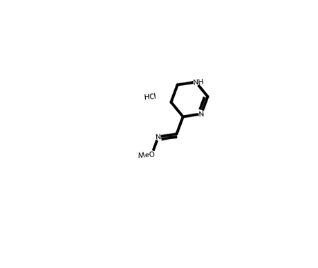 CO/N=C/C1CCNC=N1.Cl